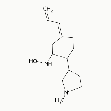 C=C/C=C1/CCC(C2CCN(C)C2)C(NO)C1